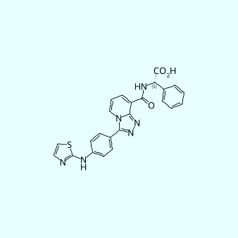 O=C(N[C@H](C(=O)O)c1ccccc1)c1cccn2c(-c3ccc(Nc4nccs4)cc3)nnc12